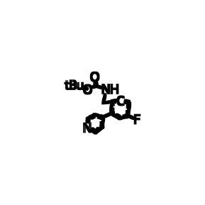 CC(C)(C)OC(=O)NCc1ccc(F)cc1-c1ccncc1